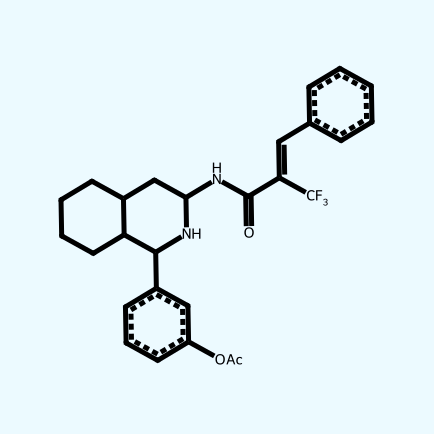 CC(=O)Oc1cccc(C2NC(NC(=O)C(=Cc3ccccc3)C(F)(F)F)CC3CCCCC32)c1